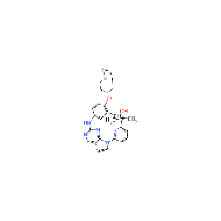 Cc1cc(Nc2ncc3ccn(-c4cccc(C(C)(C)O)n4)c3n2)ccc1OC1CCN(C)CC1